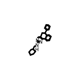 c1ccc(C2Cc3cnc(NCC4CCCCC4)nc3-c3ccccc32)cc1